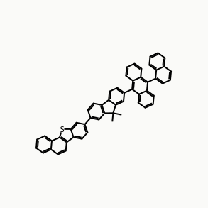 CC1(C)c2cc(-c3ccc4c(c3)sc3c5ccccc5ccc43)ccc2-c2ccc(-c3c4ccccc4c(-c4cccc5ccccc45)c4ccccc34)cc21